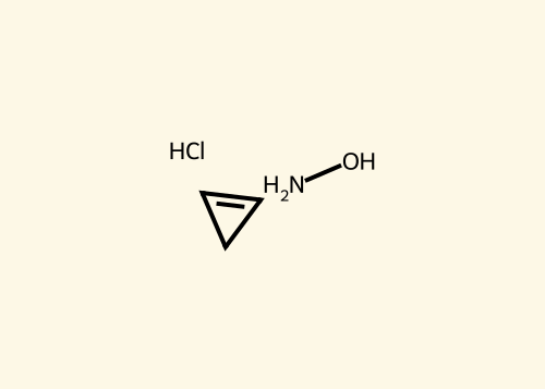 C1=CC1.Cl.NO